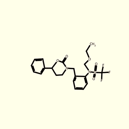 CCOCN(c1ccccc1CN1CCC(c2ccccc2)OC1=O)S(=O)(=O)C(F)(F)F